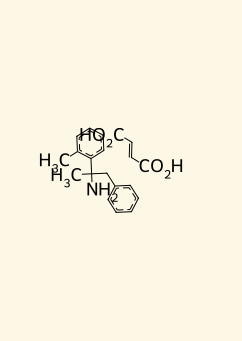 Cc1ccccc1C(C)(N)Cc1ccccc1.O=C(O)/C=C/C(=O)O